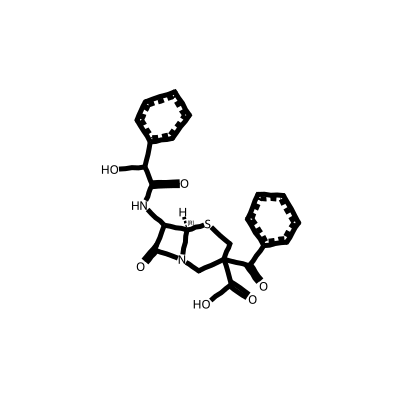 O=C(NC1C(=O)N2CC(C(=O)O)(C(=O)c3ccccc3)CS[C@H]12)C(O)c1ccccc1